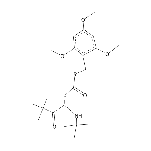 COc1cc(OC)c(CSC(=O)C[C@H](NC(C)(C)C)C(=O)C(C)(C)C)c(OC)c1